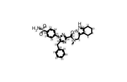 CN(Cc1n[nH]c2c1CCCC2)C(=O)c1nc(Cc2ccccc2)n(-c2ccc(S(N)(=O)=O)cc2)n1